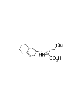 CC(C)(C)CC[C@H](NCc1ccc2c(c1)CCCC2)C(=O)O